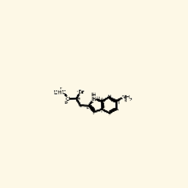 Nc1ccc2cc(CC(Br)OC=O)[nH]c2c1